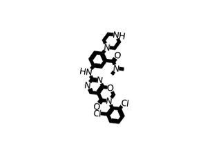 CN(C)C(=O)c1cc(Nc2ncc3c(n2)OCN(c2c(Cl)cccc2Cl)C3=O)ccc1N1CCNCC1